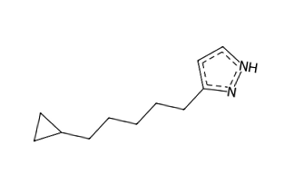 c1cc(CCCCCC2CC2)n[nH]1